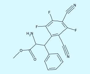 COC(=O)C(N)C(c1ccccc1)c1c(F)c(F)c(C#N)c(F)c1C#N